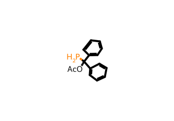 CC(=O)OC(P)(c1ccccc1)c1ccccc1